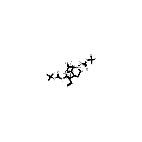 C=CC1=C(OC(=O)OC(C)(C)C)N2C(=O)[C@@H]3[C@H]2C1CCN3OC(=O)OC(C)(C)C